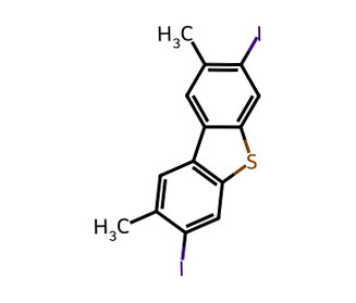 Cc1cc2c(cc1I)sc1cc(I)c(C)cc12